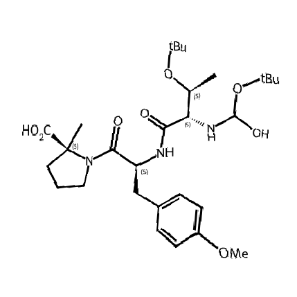 COc1ccc(C[C@H](NC(=O)[C@@H](NC(O)OC(C)(C)C)[C@H](C)OC(C)(C)C)C(=O)N2CCC[C@@]2(C)C(=O)O)cc1